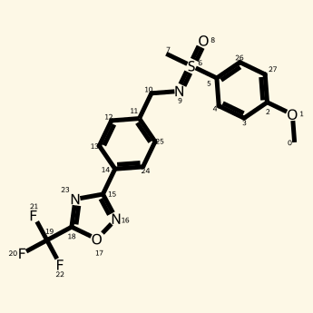 COc1ccc(S(C)(=O)=NCc2ccc(-c3noc(C(F)(F)F)n3)cc2)cc1